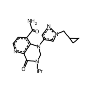 CC(C)N1CN(c2cnn(CC3CC3)c2)c2c(C(N)=O)ccnc2C1=O